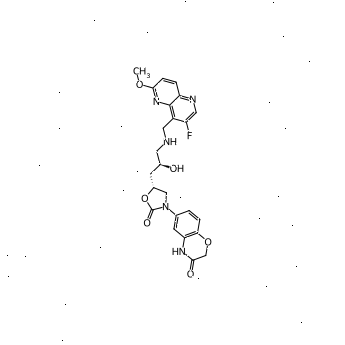 COc1ccc2ncc(F)c(CNC[C@@H](O)C[C@@H]3CN(c4ccc5c(c4)NC(=O)CO5)C(=O)O3)c2n1